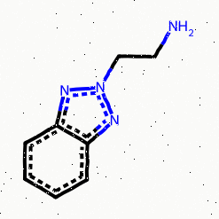 NCCn1nc2ccccc2n1